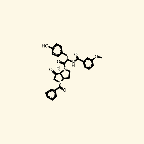 COc1cccc(C(=O)N[C@@H](Cc2ccc(O)cc2)C(=O)N2CCC3[C@H]2C(=O)CN3C(=O)c2ccccc2)c1